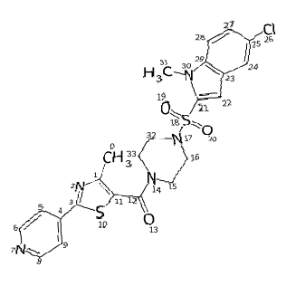 Cc1nc(-c2ccncc2)sc1C(=O)N1CCN(S(=O)(=O)c2cc3cc(Cl)ccc3n2C)CC1